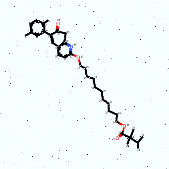 Cc1ccc(C)c(C2=Cc3ccc(OCCCCCCCCCCCOC(=O)C(C)(C)C(C)C)nc3CC2=O)c1